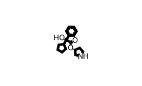 O=C(O[C@@H]1CCNC1)C(O)(c1ccccc1)C1CCCC1